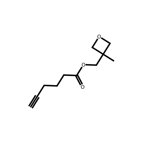 C#CCCCC(=O)OCC1(C)COC1